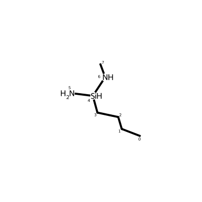 CCCC[SiH](N)NC